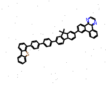 CC1(C)c2cc(-c3ccc(-c4ccc(-c5cccc6c5sc5ccccc56)cc4)cc3)ccc2C2C=CC(c3ccc4c(c3)c3ccccc3c3nccnc43)=CC21